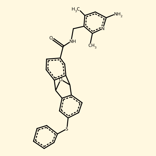 Cc1cc(N)nc(C)c1CNC(=O)c1ccc2c(c1)C1OC2c2cc(Sc3ccccc3)ccc21